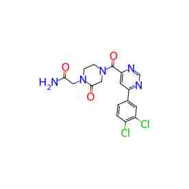 NC(=O)CN1CCN(C(=O)c2cc(-c3ccc(Cl)c(Cl)c3)ncn2)CC1=O